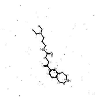 CCN(CC)CCCNC(=O)CCC(=O)c1ccc2c(c1)CCNCC2